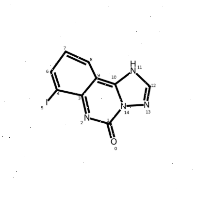 O=c1nc2c(I)cccc2c2[nH]cnn12